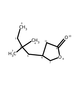 CCC(C)(C)CC1COC(=O)C1